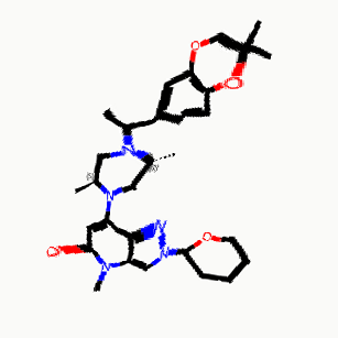 CC(c1ccc2c(c1)OCC(C)(C)O2)N1C[C@H](C)N(c2cc(=O)n(C)c3cn(C4CCCCO4)nc23)C[C@H]1C